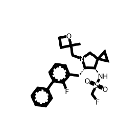 CC1(CN2CC3(CC3)[C@H](NS(=O)(=O)CF)[C@@H]2Cc2cccc(-c3ccccc3)c2F)CCO1